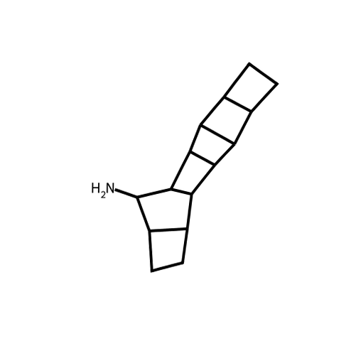 NC1C2CCC2C2C1C1C3C4CCC4C3C21